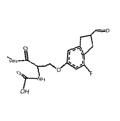 CNC(=O)C(COc1cc(F)c2c(c1)CC(C=O)C2)NC(=O)O